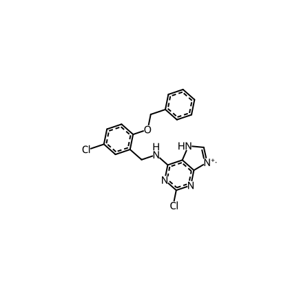 Clc1ccc(OCc2ccccc2)c(CNc2nc(Cl)nc3c2NC=[N+]3)c1